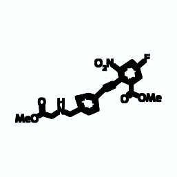 COC(=O)CNCc1ccc(C#Cc2c(C(=O)OC)cc(F)cc2[N+](=O)[O-])cc1